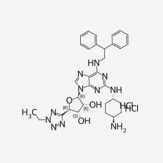 CCn1nnc([C@H]2O[C@@H](n3cnc4c(NCC(c5ccccc5)c5ccccc5)nc(N[C@H]5CC[C@H](N)CC5)nc43)[C@H](O)[C@@H]2O)n1.Cl.Cl